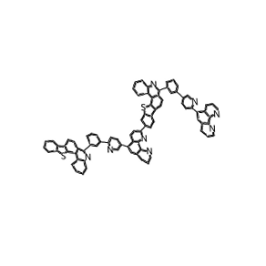 c1cc(-c2ccc(-c3cc4cccnc4c4ncccc34)nc2)cc(-c2nc3ccccc3c3c2ccc2c4ccc(-c5ccc6c(-c7ccc(-c8cccc(-c9nc%10ccccc%10c%10c9ccc9c%11ccccc%11sc9%10)c8)nc7)cc7cccnc7c6n5)cc4sc23)c1